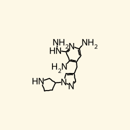 NNc1nc(N)cc(Cc2cnn(C3CCNC3)c2)c1N